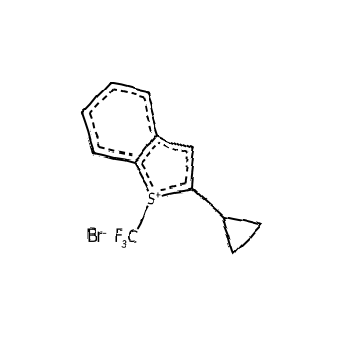 FC(F)(F)[s+]1c(C2CC2)cc2ccccc21.[Br-]